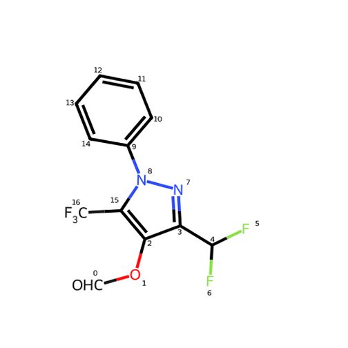 O=COc1c(C(F)F)nn(-c2ccccc2)c1C(F)(F)F